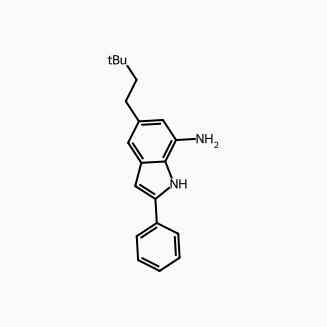 CC(C)(C)CCc1cc(N)c2[nH]c(-c3ccccc3)cc2c1